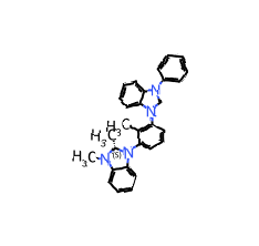 Cc1c(N2CN(c3ccccc3)c3ccccc32)cccc1N1c2ccccc2N(C)[C@@H]1C